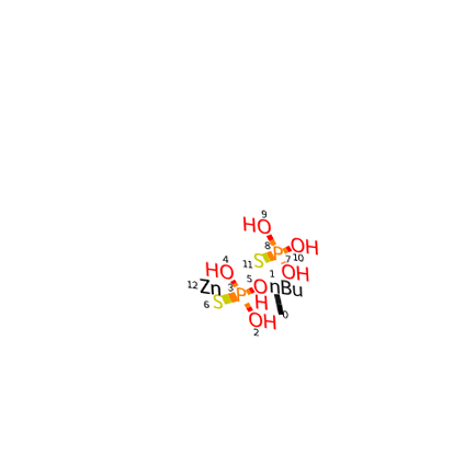 CCCCC.OP(O)(O)=S.OP(O)(O)=S.[Zn]